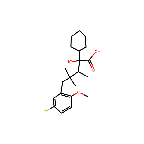 COc1ccc(F)cc1CC(C)(C)C(C)C(O)(C(=O)O)C1CCCCC1